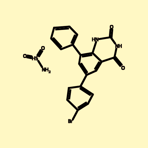 N[SH](=O)=O.O=c1[nH]c(=O)c2cc(-c3ccc(Br)cc3)cc(-c3ccccc3)c2[nH]1